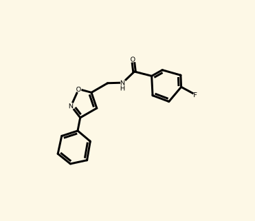 O=C(NCc1cc(-c2ccccc2)no1)c1ccc(F)cc1